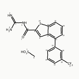 CS(=O)(=O)O.N=C(N)NC(=O)c1cc2c(-c3cccc(C(F)(F)F)c3)cccc2s1